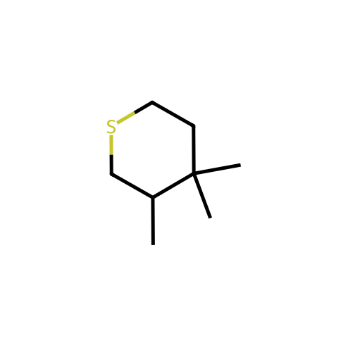 CC1CSCCC1(C)C